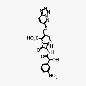 O=C(O)C1=C(CSc2ccc3nnnn3n2)CS[C@H]2C(NC(=O)C(O)c3cccc([N+](=O)[O-])c3)C(=O)N12